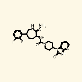 NN=C1NCC(c2cccc(F)c2F)CCC1NC(=O)N1CCC(n2c(=O)[nH]c3ncccc32)CC1